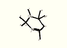 CC1=NC(C)(C)N(C)C(C)(C)C1